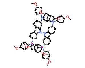 COc1ccc(N(c2ccc(OC)cc2)c2ccc3c4ccc(N(c5ccc(OC)cc5)c5ccc(OC)cc5)cc4n(-n4c5cc(N(c6ccc(OC)cc6)c6ccc(OC)cc6)ccc5c5ccc(N(c6ccc(OC)cc6)c6ccc(OC)cc6)cc54)c3c2)cc1